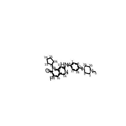 CN1CCN(c2ccc(Nc3cc4c(cn3)cc(F)c(=O)n4C3CCCC3)cc2)CC1